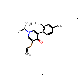 C=CSc1cn(C(C)C(=O)O)cc(-c2ccc(C)cc2C)c1=O